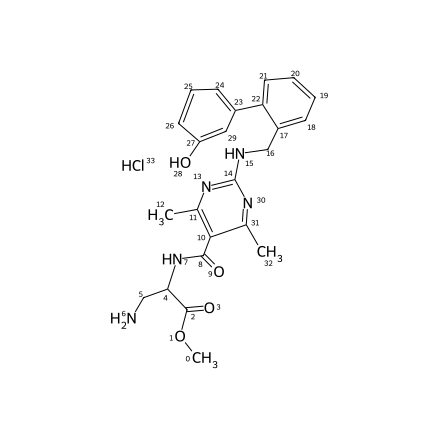 COC(=O)C(CN)NC(=O)c1c(C)nc(NCc2ccccc2-c2cccc(O)c2)nc1C.Cl